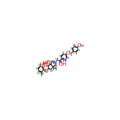 COc1ccc(COc2ccc([C@@H](O)CN3C[C@H]4C[C@H](Oc5ccccc5F)[C@H](O)[C@@]4(O)C3)nc2)cc1